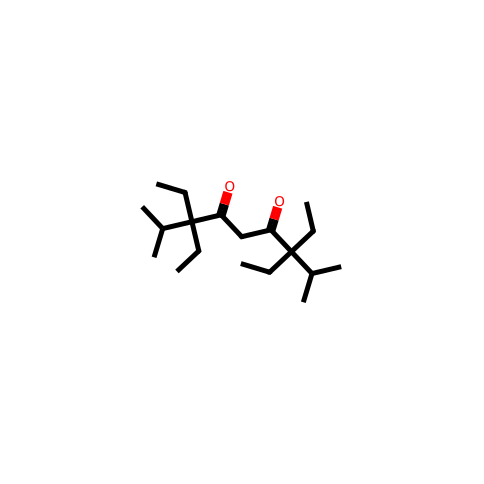 CCC(CC)(C(=O)CC(=O)C(CC)(CC)C(C)C)C(C)C